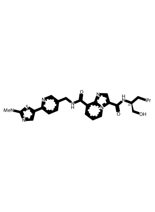 CNc1ncc(-c2ccc(CNC(=O)c3cccn4c(C(=O)N[C@H](CO)CC(C)C)cnc34)cn2)s1